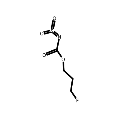 O=C(N=S(=O)=O)OCCCF